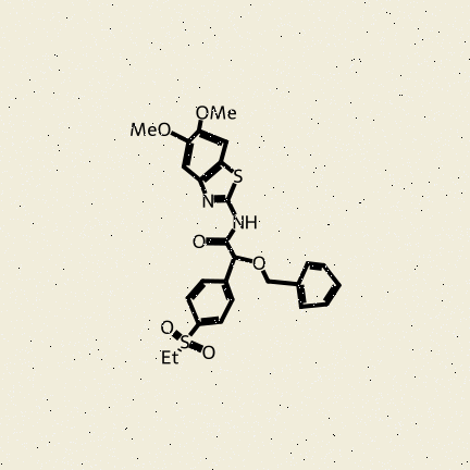 CCS(=O)(=O)c1ccc(C(OCc2ccccc2)C(=O)Nc2nc3cc(OC)c(OC)cc3s2)cc1